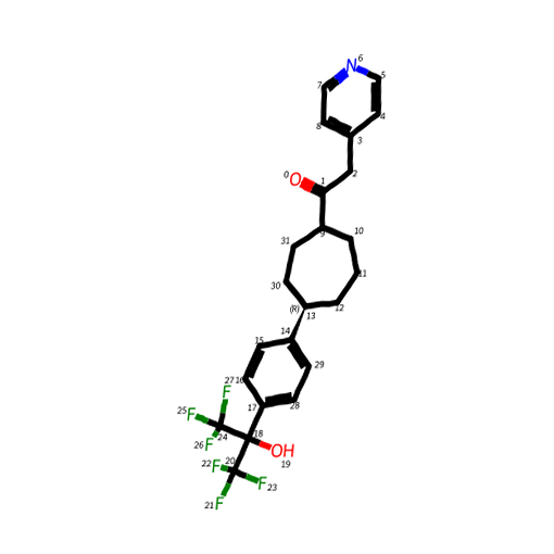 O=C(Cc1ccncc1)C1CCC[C@@H](c2ccc(C(O)(C(F)(F)F)C(F)(F)F)cc2)CC1